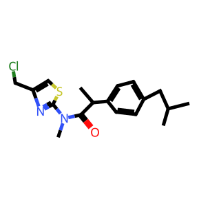 CC(C)Cc1ccc(C(C)C(=O)N(C)c2nc(CCl)cs2)cc1